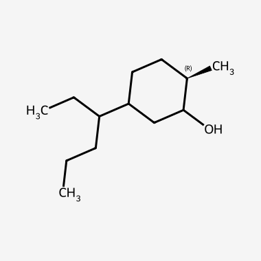 CCCC(CC)C1CC[C@@H](C)C(O)C1